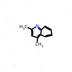 Cc1[c]c(C)c2ccccc2n1